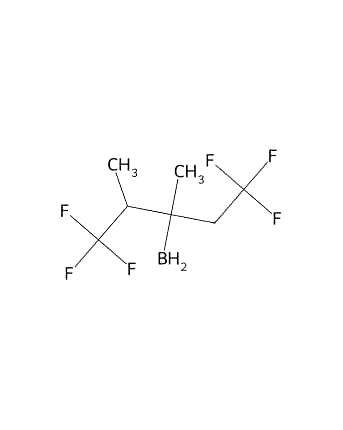 BC(C)(CC(F)(F)F)C(C)C(F)(F)F